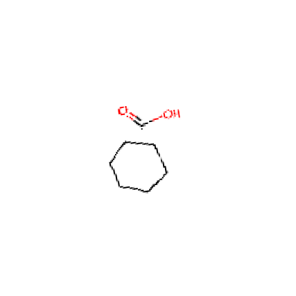 C1CCCCC1.O=[C]O